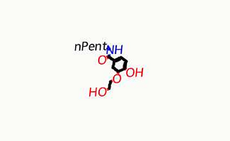 CCCCCNC(=O)C1=CC=C(O)C(OCCO)C1